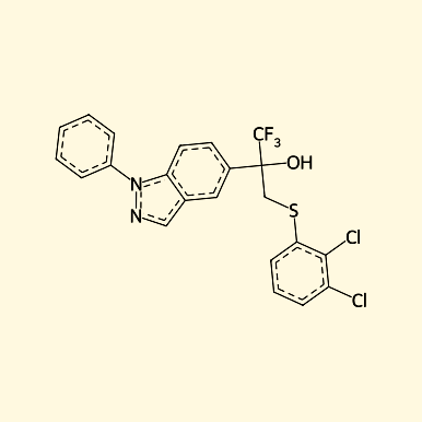 OC(CSc1cccc(Cl)c1Cl)(c1ccc2c(cnn2-c2ccccc2)c1)C(F)(F)F